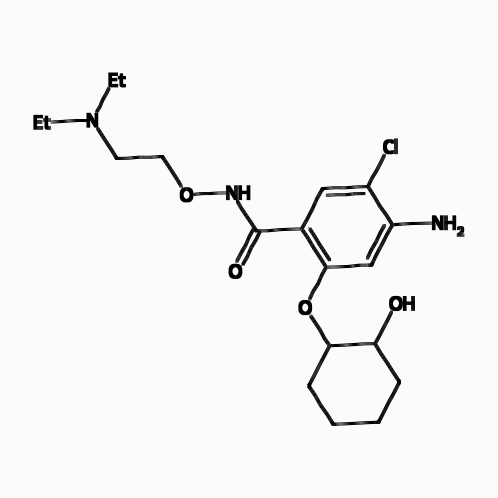 CCN(CC)CCONC(=O)c1cc(Cl)c(N)cc1OC1CCCCC1O